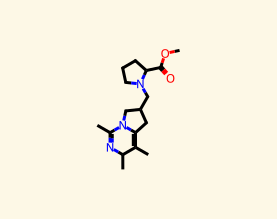 COC(=O)C1CCCN1CC1CC2=C(C)C(C)N=C(C)N2C1